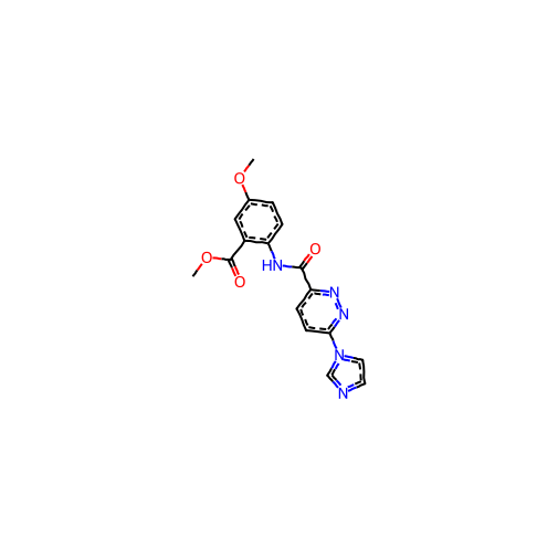 COC(=O)c1cc(OC)ccc1NC(=O)c1ccc(-n2ccnc2)nn1